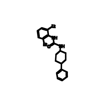 CCc1cccc(CC)c1NC(=O)NC1CCC(c2ccccc2)CC1